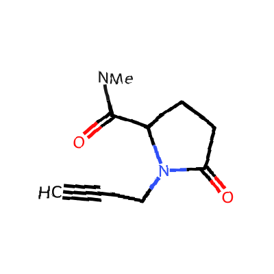 C#CCN1C(=O)CCC1C(=O)NC